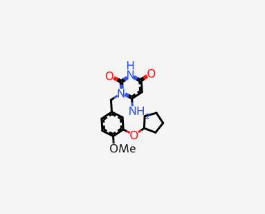 COc1ccc(Cn2c(N)cc(=O)[nH]c2=O)cc1OC1CCCC1